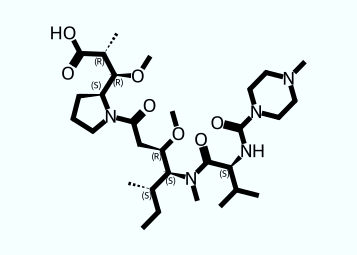 CC[C@H](C)[C@@H]([C@@H](CC(=O)N1CCC[C@H]1[C@H](OC)[C@@H](C)C(=O)O)OC)N(C)C(=O)[C@@H](NC(=O)N1CCN(C)CC1)C(C)C